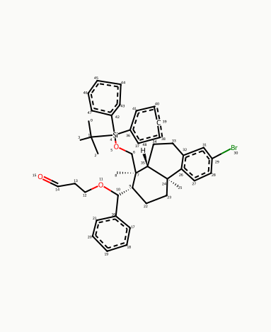 CC(C)(C)[Si](OC[C@]1(C)[C@@H](C(OCCC=O)c2ccccc2)CC[C@]2(C)c3ccc(Br)cc3CC[C@@H]12)(c1ccccc1)c1ccccc1